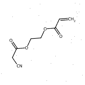 C=CC(=O)OCCOC(=O)CC#N